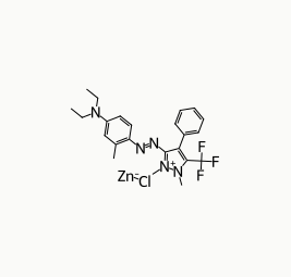 CCN(CC)c1ccc(N=Nc2c(-c3ccccc3)c(C(F)(F)F)n(C)[n+]2C)c(C)c1.[Cl][Zn-]